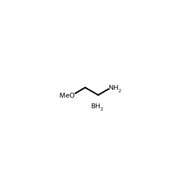 B.COCCN